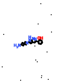 NC1CC2(C1)CN(c1cc3cc(-c4ccccc4O)nnc3[nH]1)C2